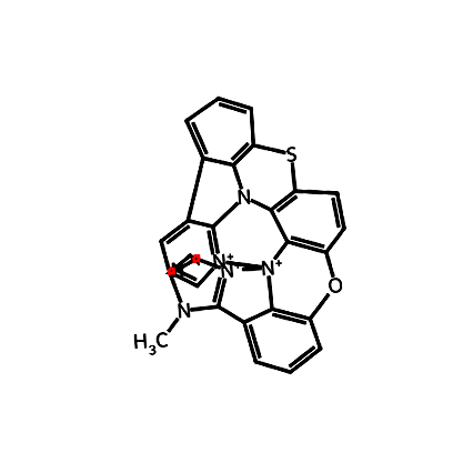 Cn1c2[n+](c3cccnc31)[N+]13c4c(cccc4-2)Oc2ccc4c(c21)-n1c2c(cccc2c2ccc[n+]3c21)S4